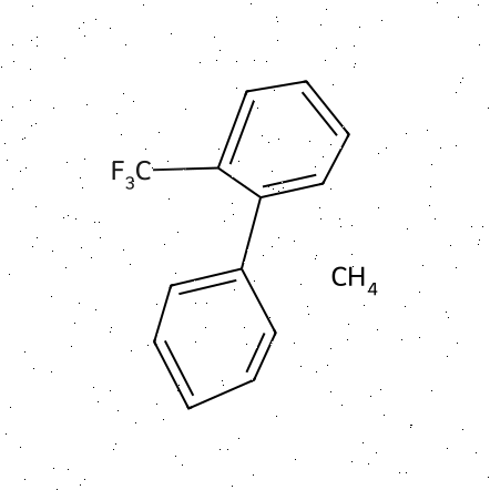 C.FC(F)(F)c1ccccc1-c1ccccc1